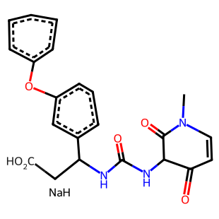 CN1C=CC(=O)C(NC(=O)NC(CC(=O)O)c2cccc(Oc3ccccc3)c2)C1=O.[NaH]